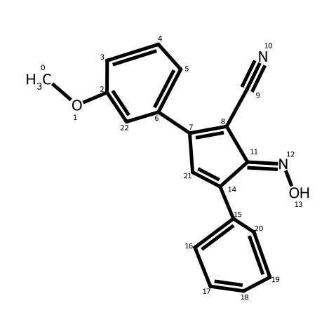 COc1cccc(C2=C(C#N)C(=NO)C(c3ccccc3)=C2)c1